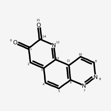 O=C1C=c2ccc3nnccc3c2=NC1=O